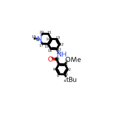 COc1cc(C(C)(C)C)ccc1C(=O)Nc1ccc2c(c1)CN(C)CC2